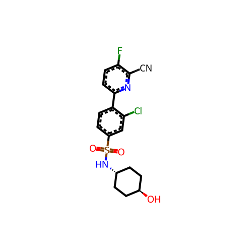 N#Cc1nc(-c2ccc(S(=O)(=O)N[C@H]3CC[C@H](O)CC3)cc2Cl)ccc1F